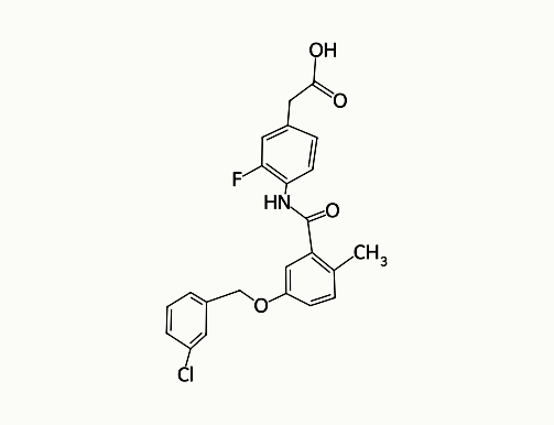 Cc1ccc(OCc2cccc(Cl)c2)cc1C(=O)Nc1ccc(CC(=O)O)cc1F